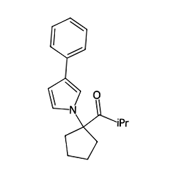 CC(C)C(=O)C1(n2ccc(-c3ccccc3)c2)CCCC1